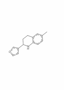 Cc1ccc2c(c1)CCC(c1ccoc1)N2